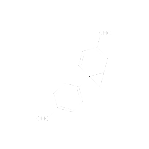 O=CC1=CC2SC2(c2ccc(C=O)cc2)C=C1